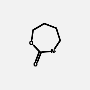 O=C1[N]CCCCO1